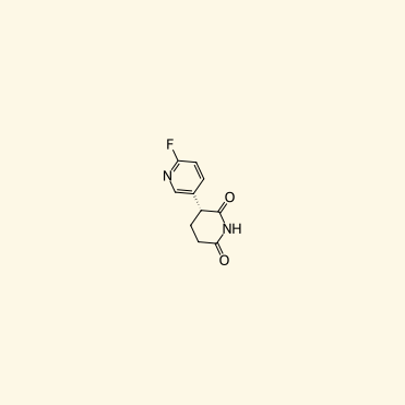 O=C1CC[C@H](c2ccc(F)nc2)C(=O)N1